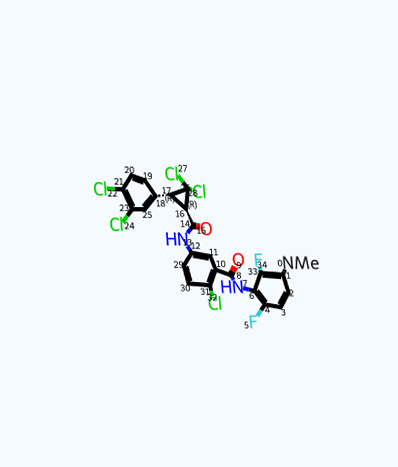 CNc1ccc(F)c(NC(=O)c2cc(NC(=O)[C@H]3[C@H](c4ccc(Cl)c(Cl)c4)C3(Cl)Cl)ccc2Cl)c1F